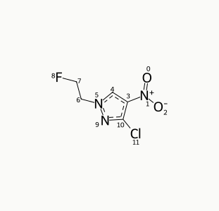 O=[N+]([O-])c1cn(CCF)nc1Cl